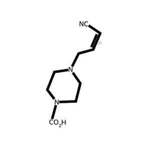 N#C/C=C\CN1CCN(C(=O)O)CC1